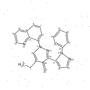 CCc1cn(-c2cccc3cccnc23)nc(-c2ccnn2-c2ccccc2)c1=O